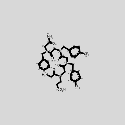 NCC(=O)N(CCC(=O)O)CC(=O)N(CC(=O)N(CC(=O)N(CC(N)=O)Cc1ccccc1)Cc1ccc(C(F)(F)F)cc1)Cc1ccc(C(F)(F)F)cc1